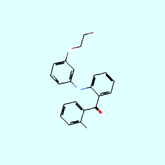 Cc1ccccc1C(=O)c1ccccc1Nc1[c]c(OCCBr)ccc1